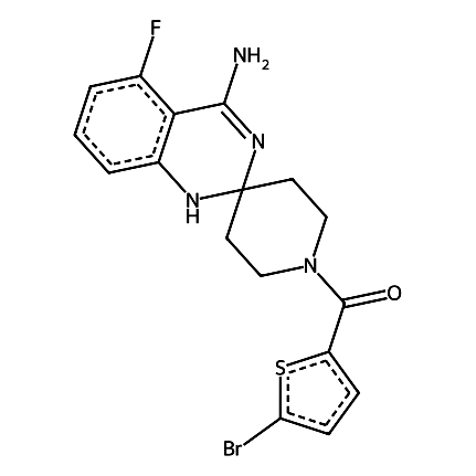 NC1=NC2(CCN(C(=O)c3ccc(Br)s3)CC2)Nc2cccc(F)c21